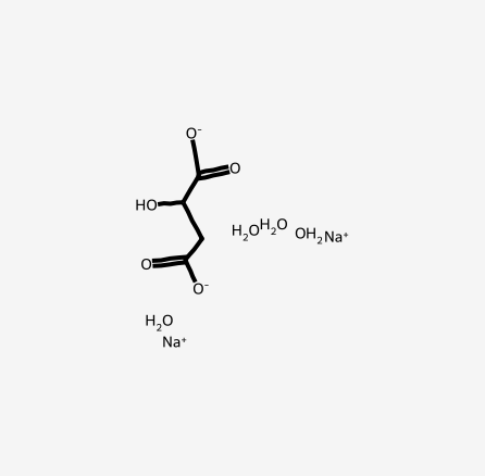 O.O.O.O.O=C([O-])CC(O)C(=O)[O-].[Na+].[Na+]